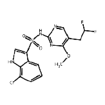 COc1nc(NS(=O)(=O)c2c[nH]c3c(Cl)cccc23)ncc1CC(F)F